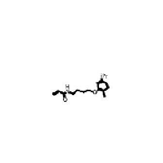 C=CC(=O)NCCCCOc1cc(C(C)C)ccc1C